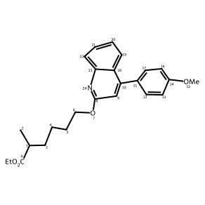 CCOC(=O)C(C)CCCCOc1cc(-c2ccc(OC)cc2)c2ccccc2n1